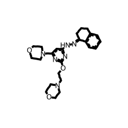 c1ccc2c(c1)CCCC2=NNc1cc(N2CCOCC2)nc(OCCN2CCOCC2)n1